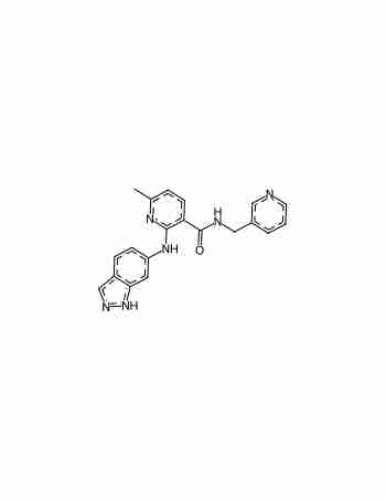 Cc1ccc(C(=O)NCc2cccnc2)c(Nc2ccc3cn[nH]c3c2)n1